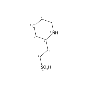 O=S(=O)(O)CCC1COCCN1